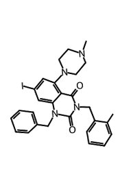 Cc1ccccc1Cn1c(=O)c2c(N3CCN(C)CC3)cc(I)cc2n(Cc2ccccc2)c1=O